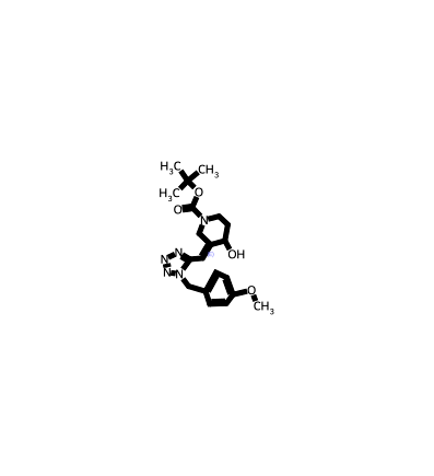 COc1ccc(Cn2nnnc2/C=C2\CN(C(=O)OC(C)(C)C)CCC2O)cc1